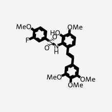 COc1ccc(S(=O)(=O)Nc2c(C=Cc3cc(OC)c(OC)c(OC)c3)ccc(OC)c2O)cc1F